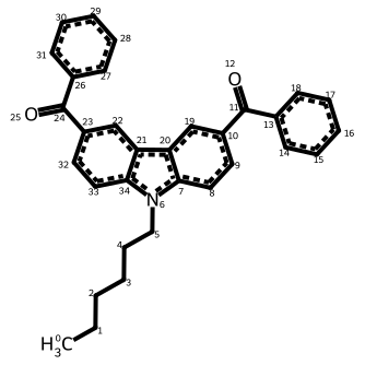 CCCCCCn1c2ccc(C(=O)c3ccccc3)cc2c2cc(C(=O)c3ccccc3)ccc21